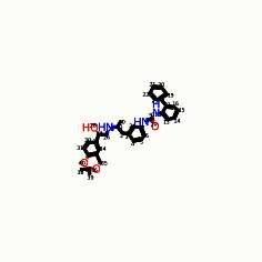 CC(Cc1cccc(NC(=O)Nc2ccccc2-c2ccccc2)c1)NC[C@@H](O)c1ccc2c(c1)COC(C)(C)O2